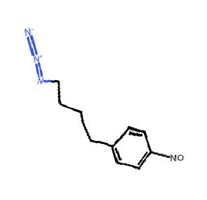 [N-]=[N+]=NCCCCc1ccc(N=O)cc1